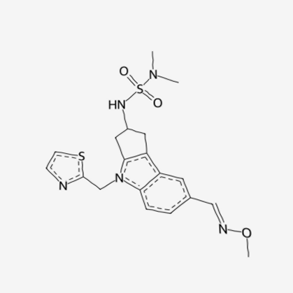 CON=Cc1ccc2c(c1)c1c(n2Cc2nccs2)CC(NS(=O)(=O)N(C)C)C1